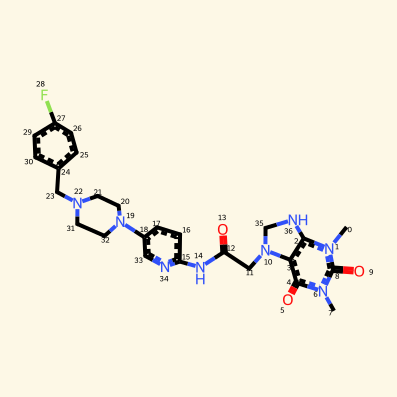 Cn1c2c(c(=O)n(C)c1=O)N(CC(=O)Nc1ccc(N3CCN(Cc4ccc(F)cc4)CC3)cn1)CN2